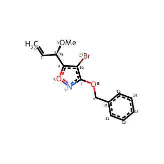 C=C[C@@H](OC)c1onc(OCc2ccccc2)c1Br